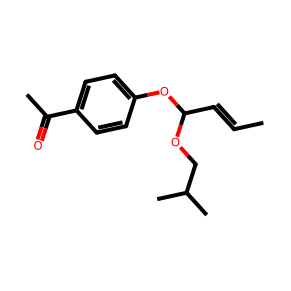 CC=CC(OCC(C)C)Oc1ccc(C(C)=O)cc1